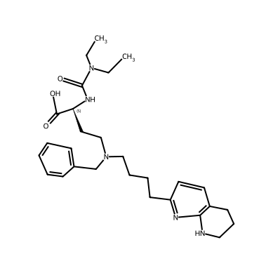 CCN(CC)C(=O)N[C@@H](CCN(CCCCc1ccc2c(n1)NCCC2)Cc1ccccc1)C(=O)O